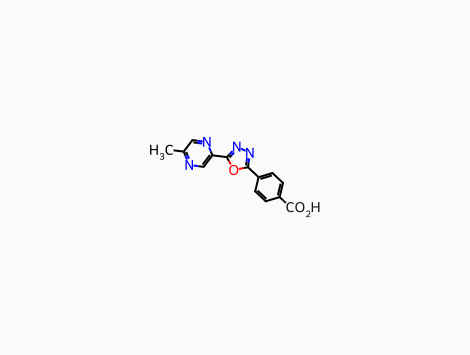 Cc1cnc(-c2nnc(-c3ccc(C(=O)O)cc3)o2)cn1